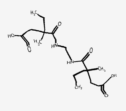 CCC(C)(CC(=O)O)C(=O)NCNC(=O)C(C)(CC)CC(=O)O